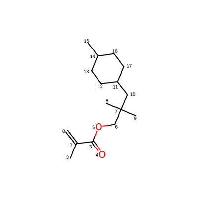 C=C(C)C(=O)OCC(C)(C)CC1CCC(C)CC1